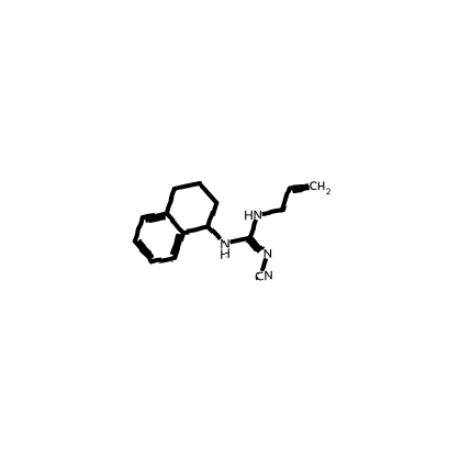 C=CCN/C(=N/C#N)NC1CCCc2ccccc21